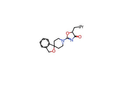 CC(C)CC1OC(N2CCC3(CC2)OCc2ccccc23)=NC1=O